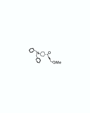 COCC#CC(=O)C1CCC(N(Cc2ccccc2)Cc2ccccc2)CC1